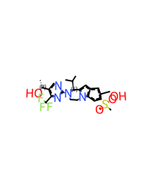 CC(C)[C@H]1c2cc3cc(CO)c(S(C)(=O)=O)cc3n2CCN1c1ncc([C@@H](C)O)c(C(F)(F)F)n1